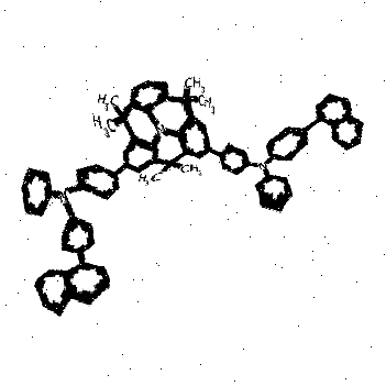 CC1(C)C2=CC(c3ccc(N(c4ccccc4)c4ccc(-c5cccc6ccccc56)cc4)cc3)CC3=C2N2c4c1cc(-c1ccc(N(c5ccccc5)c5ccc(-c6cccc7ccccc67)cc5)cc1)cc4C(C)(C)c1cccc(c12)C3(C)C